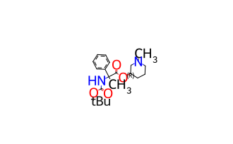 CN1CCC[C@@H](OC(=O)C(C)(NC(=O)OC(C)(C)C)c2ccccc2)C1